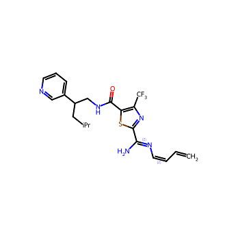 C=C/C=C\N=C(/N)c1nc(C(F)(F)F)c(C(=O)NCC(CC(C)C)c2cccnc2)s1